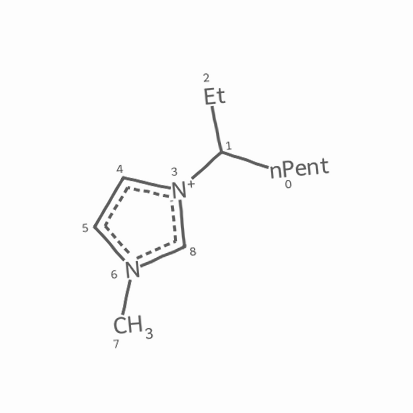 CCCCCC(CC)[n+]1ccn(C)c1